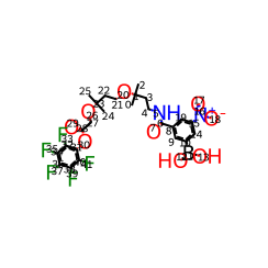 CC(C)(CCNC(=O)c1cc(B(O)O)cc([N+](=O)[O-])c1)OCCC(C)(C)OCC(=O)Oc1c(F)c(F)c(F)c(F)c1F